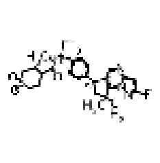 CN(C(=O)C1CCS(=O)(=O)CC1)[C@@H](c1ccc([C@@H]2CC(C)(C)c3c2cnc2cc(F)nn32)cc1)C(F)(F)F